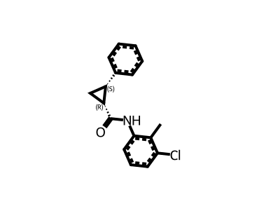 Cc1c(Cl)cccc1NC(=O)[C@@H]1C[C@@H]1c1ccccc1